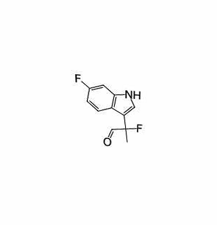 CC(F)(C=O)c1c[nH]c2cc(F)ccc12